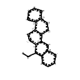 CCc1c2ccccc2cc2c1ccc1c3ccccc3ccc21